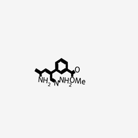 C=C(N)/C=C(\C=N/N)c1cccc(C(=O)OC)c1